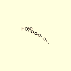 C=C(CO)C(=O)Oc1ccc(-c2ccc(C3CCC(CCC4CCC(CCCCC)CC4)CC3)cc2)cc1